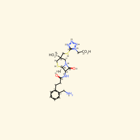 NCc1ccccc1CCC(=O)NC1C(=O)N2CC(CSc3nnnn3CC(=O)O)(C(=O)O)CS[C@H]12